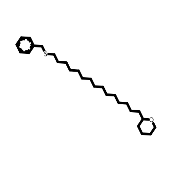 c1ccc(CSCCCCCCCCCCCCCCCC2CCCCO2)cc1